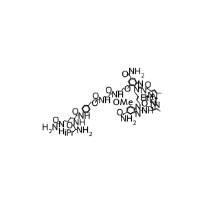 CCn1nc(C)cc1C(=O)Nc1nc2cc(C(N)=O)cc(OC)c2n1C/C=C/Cn1c(NC(=O)c2cc(C)nn2CC)nc2cc(C(N)=O)cc(OCCCNC(=O)CCNC(=O)OCc3ccc(NC(=O)[C@H](CCCNC(N)=O)NC(=O)C(N)C(C)C)cc3)c21